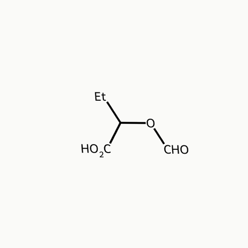 CCC(OC=O)C(=O)O